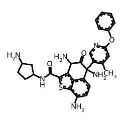 Cc1cc(Oc2ccccc2)ncc1C1(N)C(=O)C(N)c2c(C(=O)NC3CCC(N)C3)sc3c(N)ccc1c23